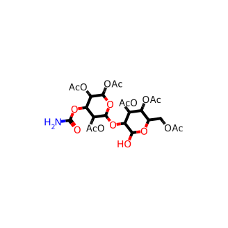 CC(=O)OCC1OC(O)C(OC2OC(OC(C)=O)C(OC(C)=O)C(OC(N)=O)C2OC(C)=O)C(OC(C)=O)C1OC(C)=O